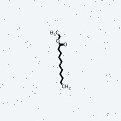 C[CH]OC(=O)CCCCCCCCCC